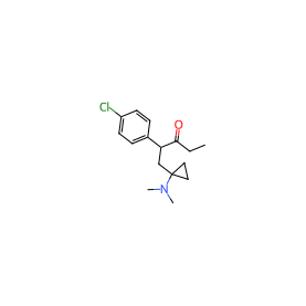 CCC(=O)C(CC1(N(C)C)CC1)c1ccc(Cl)cc1